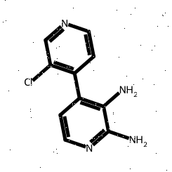 Nc1nccc(-c2ccncc2Cl)c1N